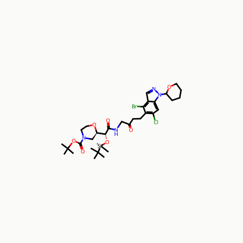 CC(C)(C)OC(=O)N1CCO[C@@H]([C@@H](O[Si](C)(C)C(C)(C)C)C(=O)NCC(=O)CCc2c(Cl)cc3c(cnn3C3CCCCO3)c2Br)C1